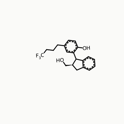 OC[C@@H]1Cc2ccccc2C1c1cc(CCCC(F)(F)F)ccc1O